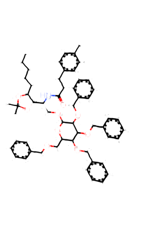 CCCCCC1OC(C)(C)O[C@H]1[C@H](COC1OC(COCc2ccccc2)C(OCc2ccccc2)C(OCc2ccccc2)C1OCc1ccccc1)NC(=O)CCc1ccc(C)cc1